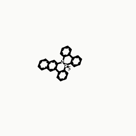 S=P12c3ccccc3-c3ccccc3N1c1cc3ccccc3cc1-c1ccccc12